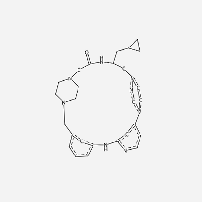 O=C1CN2CCN(CC2)Cc2cccc(c2)Nc2cc(ccn2)-c2ccc(nc2)CC(CC2CC2)N1